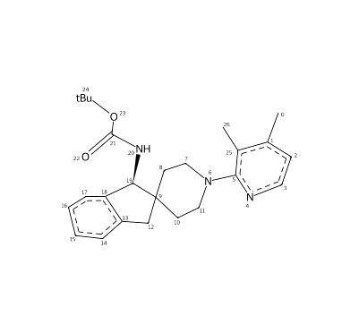 Cc1ccnc(N2CCC3(CC2)Cc2ccccc2[C@H]3NC(=O)OC(C)(C)C)c1C